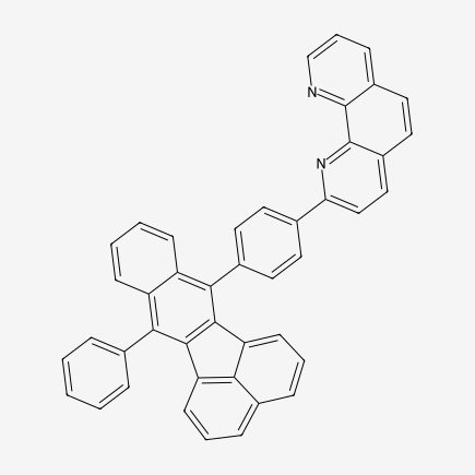 c1ccc(-c2c3c(c(-c4ccc(-c5ccc6ccc7cccnc7c6n5)cc4)c4ccccc24)-c2cccc4cccc-3c24)cc1